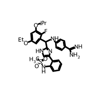 CCOc1cc(OC(C)C)c(F)c(C(Nc2ccc(C(=N)N)cc2)c2nc(-c3ccccc3NS(C)(=O)=O)c[nH]2)c1